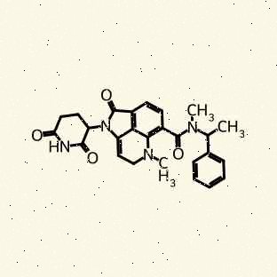 CC(c1ccccc1)N(C)C(=O)c1ccc2c3c1N(C)CC=C3N(C1CCC(=O)NC1=O)C2=O